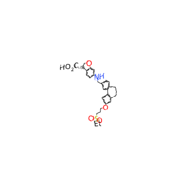 CCS(=O)(=O)CCCOc1ccc2c(c1)CCCc1ccc(CNc3ccc4c(c3)OC[C@H]4CC(=O)O)cc1-2